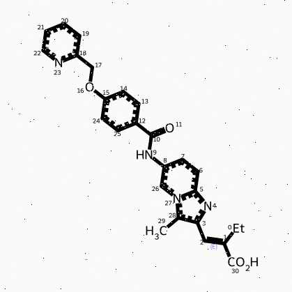 CC/C(=C\c1nc2ccc(NC(=O)c3ccc(OCc4ccccn4)cc3)cn2c1C)C(=O)O